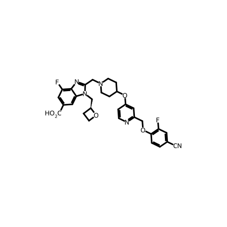 N#Cc1ccc(OCc2cc(OC3CCN(Cc4nc5c(F)cc(C(=O)O)cc5n4C[C@@H]4CCO4)CC3)ccn2)c(F)c1